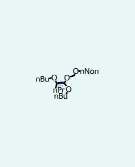 CCCCCCCCCOCO/C(OCCCC)=C(/CCC)OCCCC